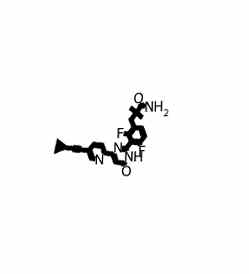 CC(C)(Cc1ccc(F)c(-c2nc(-c3ccc(C#CC4CC4)cn3)cc(=O)[nH]2)c1F)C(N)=O